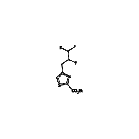 CCOC(=O)c1nc(CC(F)C(F)F)cs1